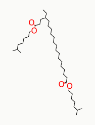 CCC(CCCCCCCCCCCCCCCC(=O)OCCCCCC(C)C)CCC(=O)OCCCCCC(C)C